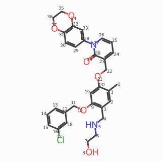 Cc1cc(CNCCO)c(OCc2cccc(Cl)c2)cc1OCc1cccn(-c2ccc3c(c2)OCCO3)c1=O